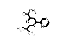 CC(C)CSC(CC(=O)C(C)C)c1cnccn1